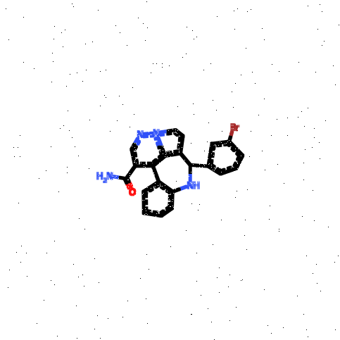 NC(=O)c1cnn2ccc3c2c1-c1ccccc1NC3c1cccc(Br)c1